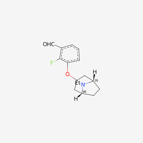 CCN1[C@@H]2CC[C@H]1CC(Oc1cccc(C=O)c1F)C2